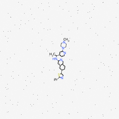 C=C(Nc1cc2cc(-c3cnc(C(C)C)s3)ccc2cn1)c1ccnc(N2CCN(C)CC2)c1